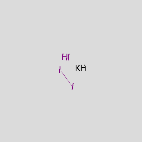 I.II.[KH]